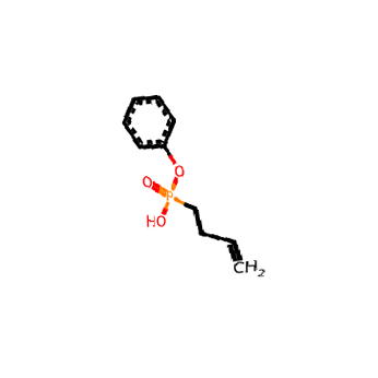 C=CCCP(=O)(O)Oc1ccccc1